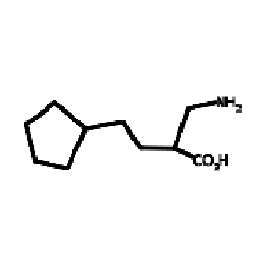 NCC(CCC1CCCC1)C(=O)O